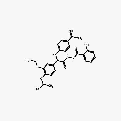 CCOc1cc(C(Nc2ccc(C(=N)N)cc2)C(=O)NNC(=O)c2ccccc2O)ccc1OC(C)C